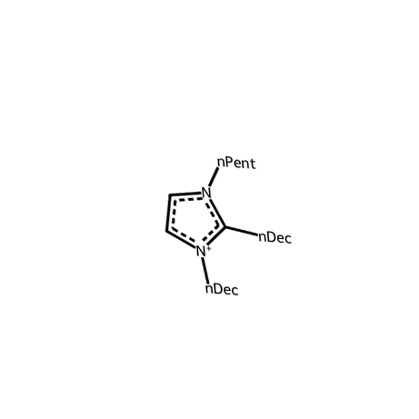 CCCCCCCCCCc1n(CCCCC)cc[n+]1CCCCCCCCCC